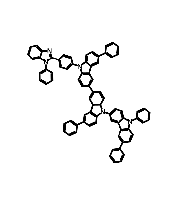 C1=CC2C(C=C1c1ccc3c(c1)c1cc(-c4ccccc4)ccc1n3-c1ccc(-c3nc4ccccc4n3-c3ccccc3)cc1)c1cc(-c3ccccc3)ccc1N2c1ccc2c(c1)c1cc(-c3ccccc3)ccc1n2-c1ccccc1